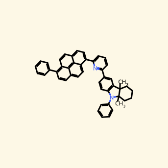 CC12CCCCC1(C)N(c1ccccc1)c1ccc(-c3cccc(-c4ccc5ccc6c(-c7ccccc7)ccc7ccc4c5c76)n3)cc12